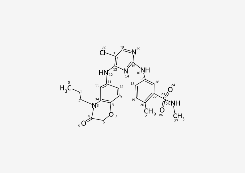 CCCN1C(=O)COc2ccc(Nc3nc(Nc4ccc(C)c(S(=O)(=O)NC)c4)ncc3Cl)cc21